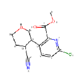 COC(=O)c1nc(Cl)ccc1C1COCCC1C#N